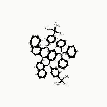 CC(C)(C)c1ccc(N2c3cc([Si](c4ccccc4)(c4ccccc4)c4ccccc4)cc4c3B(c3ccc5ccccc5c32)c2ccc3ccccc3c2N4c2ccc(C(C)(C)C)cc2)cc1